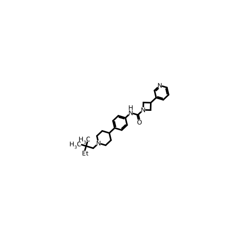 CCC(C)(C)CN1CCC(c2ccc(NC(=O)N3CC(c4cccnc4)C3)cc2)CC1